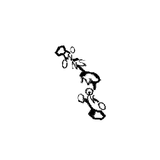 O=C1c2ccccc2OCN1OCc1ccc(-c2nc(N3C(=O)c4ccccc4C3=O)cs2)cn1